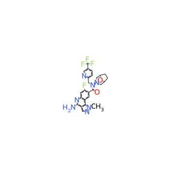 Cn1ncc2c(N)nc3cc(F)c(C(=O)N(Cc4ccc(C(F)(F)F)cn4)N4CC5CCC(C4)O5)cc3c21